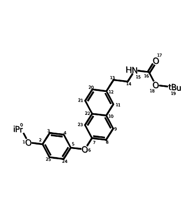 CC(C)Oc1ccc(Oc2ccc3cc(CCNC(=O)OC(C)(C)C)ccc3c2)cc1